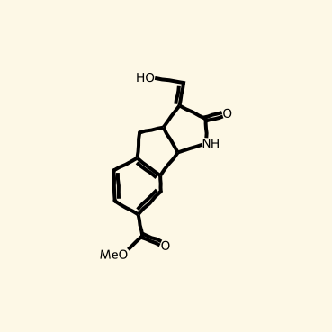 COC(=O)c1ccc2c(c1)C1NC(=O)/C(=C/O)C1C2